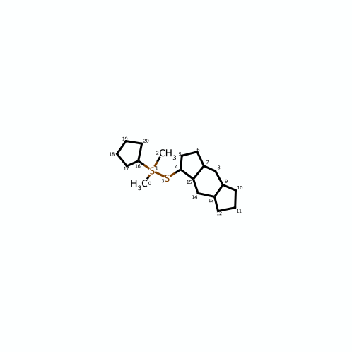 CS(C)(SC1CCC2CC3CCCC3CC21)C1CCCC1